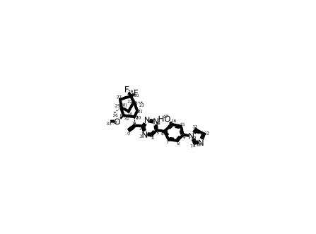 C=C(c1ncc(-c2ccc(-n3ccnc3)cc2O)nn1)[C@H]1C[C@@]2(C)C[C@](C)(CC2(F)F)[C@@H]1OC